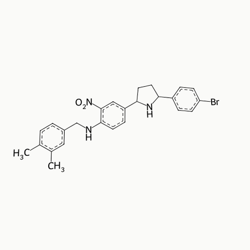 Cc1ccc(CNc2ccc(C3CCC(c4ccc(Br)cc4)N3)cc2[N+](=O)[O-])cc1C